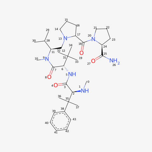 CN[C@H](C(=O)N[C@H](C(=O)N(C)[C@H](CN1CCCC1C(=O)N1CCC[C@H]1C(N)=O)C(C)C)C(C)(C)C)C(C)(C)c1ccccc1